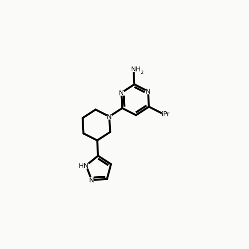 CC(C)c1cc(N2CCCC(c3ccn[nH]3)C2)nc(N)n1